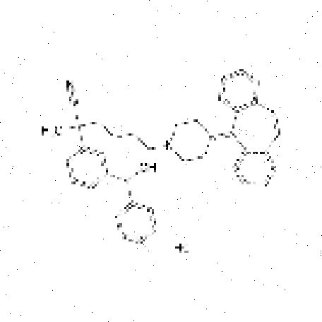 CC(C#N)(CCCCN1CCC(=C2c3ccccc3C=Cc3ccccc32)CC1)c1cccc(C(O)c2ccccc2)c1.Cl